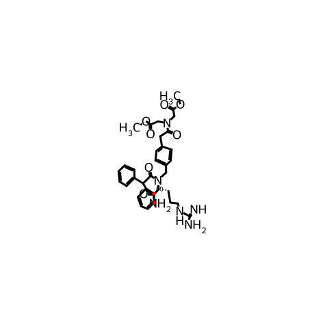 COC(=O)CN(CC(=O)OC)C(=O)Cc1ccc(CN(C(=O)C(c2ccccc2)c2ccccc2)[C@H](CCCNC(=N)N)C(N)=O)cc1